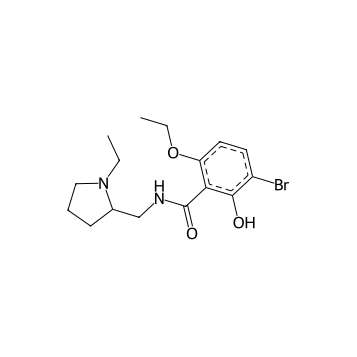 CCOc1ccc(Br)c(O)c1C(=O)NCC1CCCN1CC